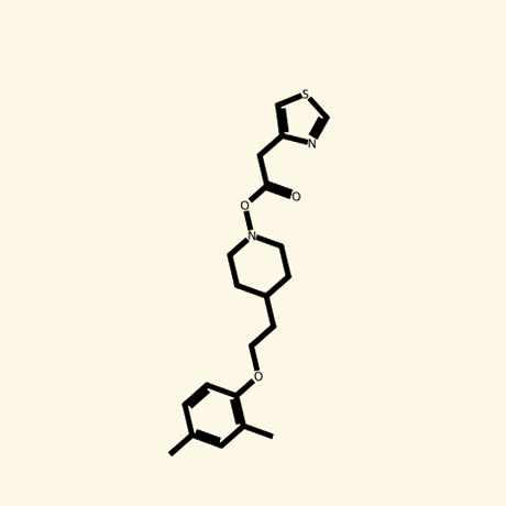 Cc1ccc(OCCC2CCN(OC(=O)Cc3cscn3)CC2)c(C)c1